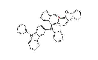 c1ccc(-n2c3ccccc3c3cc(N(c4ccccc4-c4ccc5oc6ccccc6c5c4)c4cccc5ccccc45)ccc32)cc1